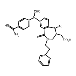 CC(=O)N1c2ccc(N(C=O)c3ccc(C(=N)N)cc3)cc2C(=O)N(CCc2ccccc2)CC1CC(=O)O